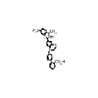 C[C@H](NC(=O)c1ccc2c(c1)OCCN2Cc1ccc(-c2ccccc2C(=O)O)cc1)c1ccc(C(F)(F)F)cc1